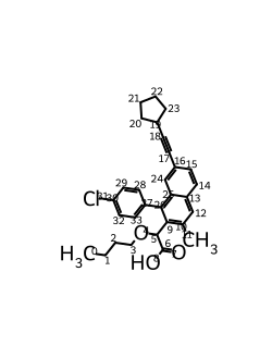 CCCCOC(C(=O)O)c1c(C)cc2ccc(C#CC3CCCC3)cc2c1-c1ccc(Cl)cc1